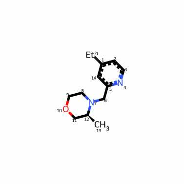 CCc1ccnc(CN2CCOC[C@@H]2C)c1